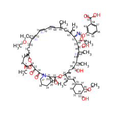 CO[C@H]1C[C@@H]2CC[C@@H](C)[C@@](O)(O2)C(=O)C(=O)N2CCCC[C@H]2C(=O)O[C@H]([C@H](C)C[C@@H]2CC[C@@H](O)[C@H](OC)C2)C[C@@H](O)[C@H](C)/C=C(\C)[C@@H](O)[C@@H](OC)C(=NOc2cccc(C(=O)O)c2)[C@H](C)C[C@H](C)/C=C/C=C/C=C/1C